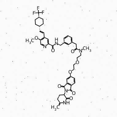 C=C1CCC(N2C(=O)c3ccc(OCCOCCN(C)C(=O)Cc4cccc(CNC(=O)c5cc(/C=C/[C@H]6CC[C@H](C(F)(F)F)CC6)c(OC)cn5)c4)cc3C2=O)C(=O)N1